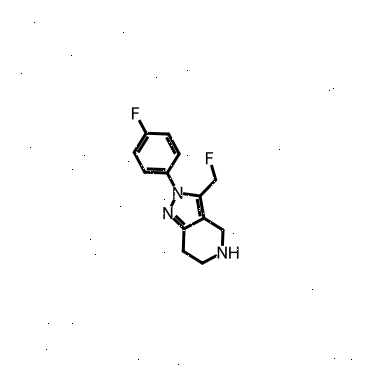 FCc1c2c(nn1-c1ccc(F)cc1)CCNC2